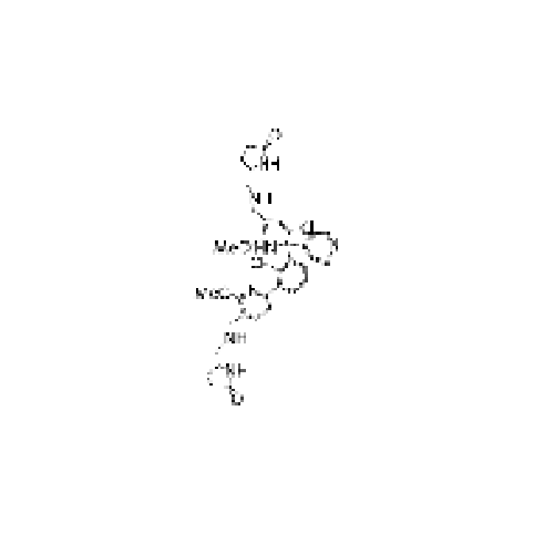 COC1=C(CNC[C@@H]2CCC(=O)N2)C=C(Cl)C(c2ccncc2)(c2cccc(-c3ccc(CNC[C@@H]4CCC(=O)N4)c(OC)n3)c2Cl)N1